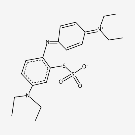 CCN(CC)c1ccc(N=C2C=CC(=[N+](CC)CC)C=C2)c(SS(=O)(=O)[O-])c1